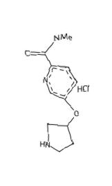 CNC(=O)c1ccc(OC2CCNC2)cn1.Cl